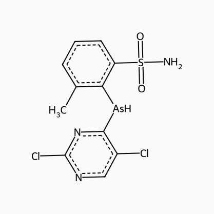 Cc1cccc(S(N)(=O)=O)c1[AsH]c1nc(Cl)ncc1Cl